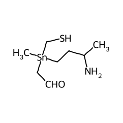 CC(N)C[CH2][Sn]([CH3])([CH2]S)[CH2]C=O